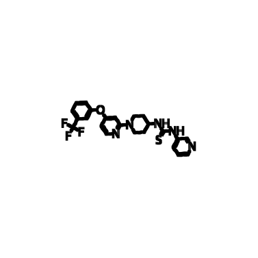 FC(F)(F)c1cccc(Oc2ccnc(N3CCC(NC(=S)Nc4cccnc4)CC3)c2)c1